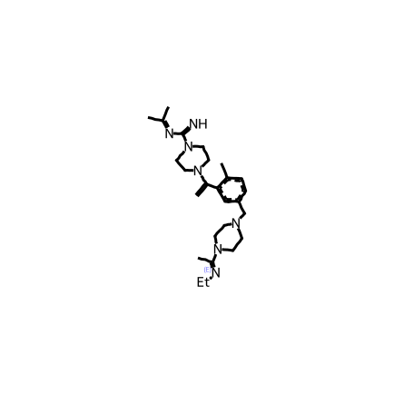 C=C(c1cc(CN2CCN(/C(C)=N/CC)CC2)ccc1C)N1CCN(C(=N)N=C(C)C)CC1